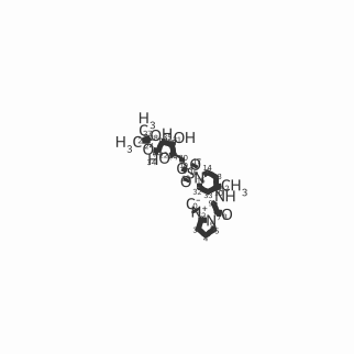 [C-]#[N+][C@@H]1CCCN1C(=O)CNC1(C)CCN(S(=O)(=O)OC[C@H]2O[C@@H]3OC(C)(C)O[C@@H]3[C@H]2O)CC1